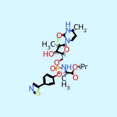 C=C1C=CN([C@@H]2O[C@H](COP(=O)(N[C@@H](C)C(=O)OC(C)C)Oc3ccc(-c4cncs4)cc3)[C@@H](O)[C@@]2(C)F)C(=O)N1